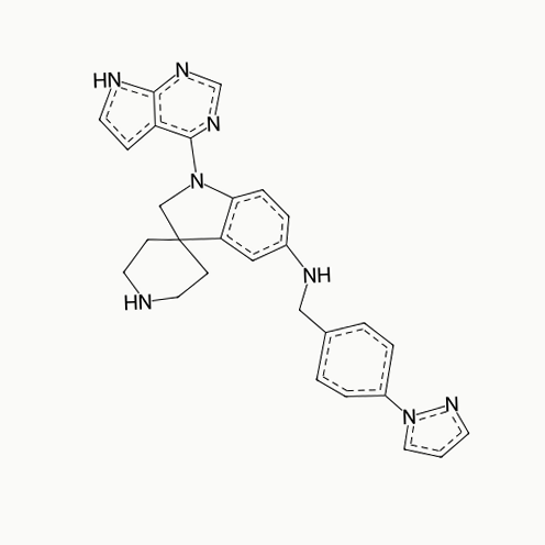 c1cnn(-c2ccc(CNc3ccc4c(c3)C3(CCNCC3)CN4c3ncnc4[nH]ccc34)cc2)c1